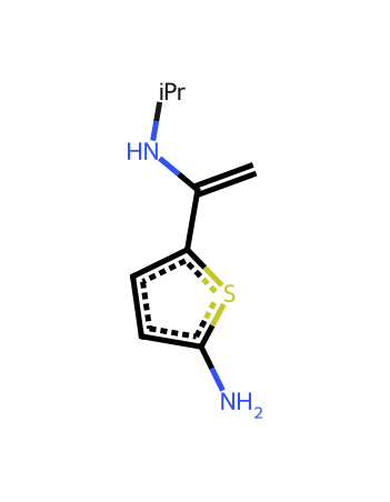 C=C(NC(C)C)c1ccc(N)s1